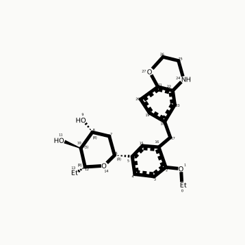 CCOc1ccc([C@H]2C[C@@H](O)[C@H](O)[C@@H](CC)O2)cc1Cc1ccc2c(c1)NCCO2